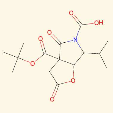 CC(C)C1C2OC(=O)CC2(C(=O)OC(C)(C)C)C(=O)N1C(=O)O